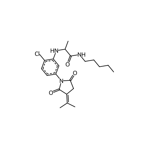 CCCCCNC(=O)C(C)Nc1cc(N2C(=O)CC(=C(C)C)C2=O)ccc1Cl